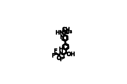 C[S@](=N)(=O)c1ccc(-c2ccc([C@@H](O)[C@@H](CF)NC(=O)C(F)F)cc2)cn1